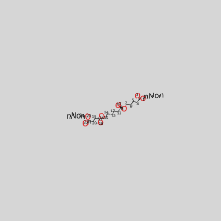 CCCCCCCCCOC(=O)CCCCOC(=O)CCCCCOC(=O)CCC(=O)OCCCCCCCCC